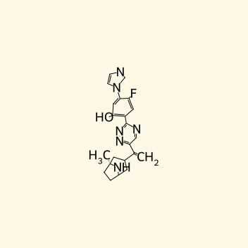 C=C(c1cnc(-c2cc(F)c(-n3ccnc3)cc2O)nn1)C1CC2CC[C@@](C)(C1)N2